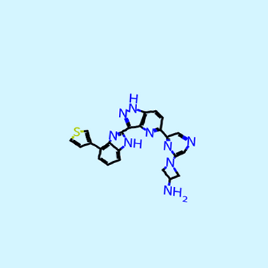 NC1CN(c2cncc(-c3ccc4[nH]nc(-c5nc6c(-c7ccsc7)cccc6[nH]5)c4n3)n2)C1